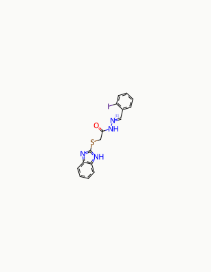 O=C(CSc1nc2ccccc2[nH]1)N/N=C/c1ccccc1I